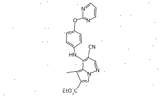 CCOC(=O)c1cn2ncc(C#N)c(Nc3ccc(Oc4ncccn4)cc3)c2c1C